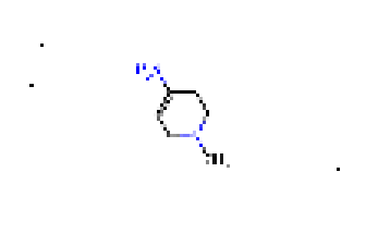 CN1CC=C(N)CC1